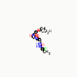 C=C(COc1ccc(CN2C(=O)CCC(N3Cc4cc(CNC(=O)Nc5ccc(C)c(Cl)c5)ccc4C3=O)C2=O)cc1)C(=O)O